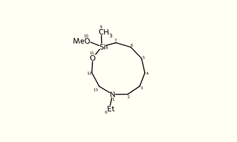 CCN1CCCCCC[Si](C)(OC)OCC1